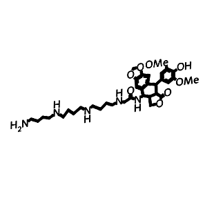 COc1cc(C2c3cc4c(cc3C(NC(=O)CNCCCCNCCCCNCCCCN)C3COC(=O)C23)OCO4)cc(OC)c1O